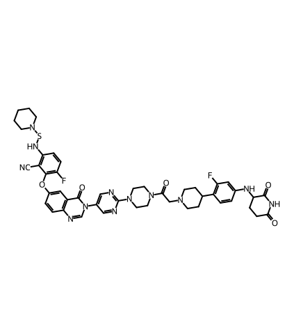 N#Cc1c(NSN2CCCCC2)ccc(F)c1Oc1ccc2ncn(-c3cnc(N4CCN(C(=O)CN5CCC(c6ccc(NC7CCC(=O)NC7=O)cc6F)CC5)CC4)nc3)c(=O)c2c1